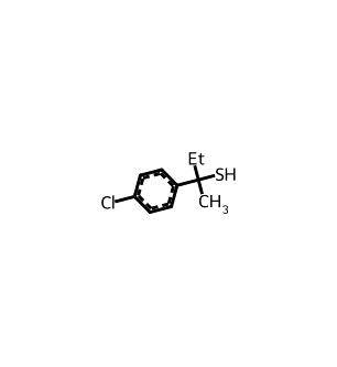 CCC(C)(S)c1ccc(Cl)cc1